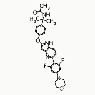 CC(=O)NC(C)(C)c1ccc(Oc2cc3nc(-c4c(F)cc(N5CCOCC5)cc4F)ccc3[nH]2)cc1